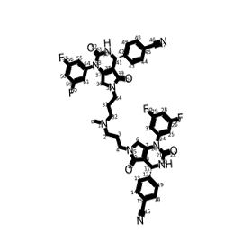 CN(CCCN1CC2=C(C1=O)[C@@H](c1ccc(C#N)cc1)NC(=O)N2c1cc(F)cc(F)c1)CCCN1CC2=C(C1=O)[C@@H](c1ccc(C#N)cc1)NC(=O)N2c1cc(F)cc(F)c1